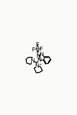 F[B-](F)(F)F.c1ccc2c(c1)nnn2C(N1CCCCC1)=[N+]1CCCCC1